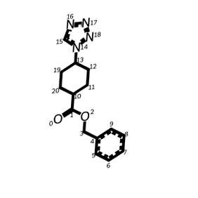 O=C(OCc1ccccc1)C1CCC(n2cnnn2)CC1